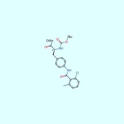 COC(=O)[C@H](Cc1ccc(NC(=O)c2c(C)cccc2Cl)cc1)NC(=O)OC(C)(C)C